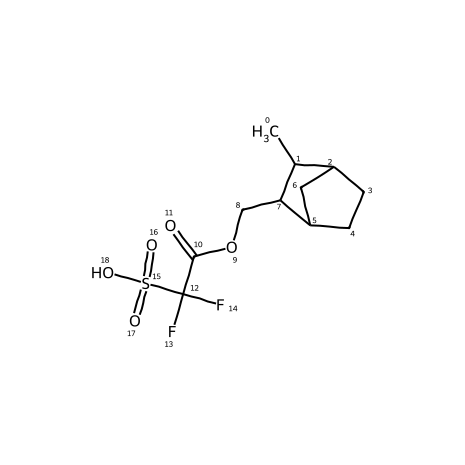 CC1C2CCC(C2)C1COC(=O)C(F)(F)S(=O)(=O)O